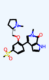 CN1CCC[C@H]1COc1cc(S(C)(=O)=O)ccc1-c1cn(C)c(=O)c2[nH]ccc12